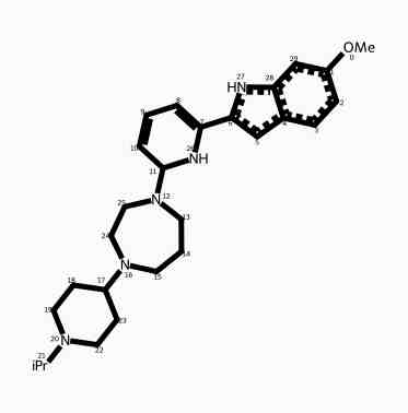 COc1ccc2cc(C3=CC=CC(N4CCCN(C5CCN(C(C)C)CC5)CC4)N3)[nH]c2c1